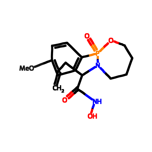 C=CCC(C(=O)NO)N1CCCCOP1(=O)c1ccc(OC)cc1